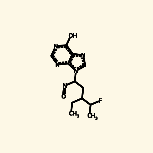 CCC(CC(N=O)n1cnc2c(O)ncnc21)C(C)F